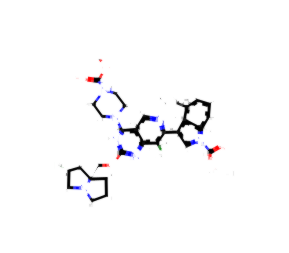 CC(C)(C)OC(=O)N1CCN(c2nc(OC[C@@]34CCCN3C[C@H](F)C4)nc3c(F)c(-c4cn(C(=O)OC(C)(C)C)c5cccc(C#N)c45)ncc23)CC1